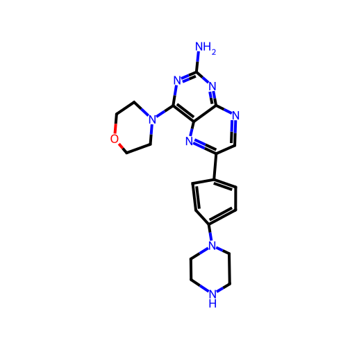 Nc1nc(N2CCOCC2)c2nc(-c3ccc(N4CCNCC4)cc3)cnc2n1